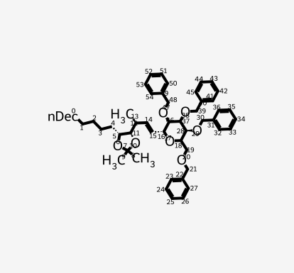 CCCCCCCCCCCCCC[C@H]1OC(C)(C)O[C@H]1[C@@H](C)/C=C/[C@H]1OC(COCc2ccccc2)[C@H](OCc2ccccc2)C(OCc2ccccc2)C1OCc1ccccc1